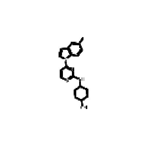 Cc1ccc2c(ccn2-c2ccnc(NC3CCC(O)CC3)n2)c1